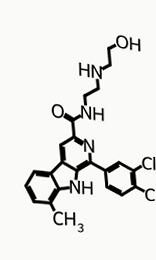 Cc1cccc2c1[nH]c1c(-c3ccc(Cl)c(Cl)c3)nc(C(=O)NCCNCCO)cc12